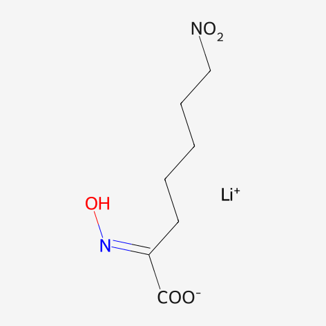 O=C([O-])C(CCCCC[N+](=O)[O-])=NO.[Li+]